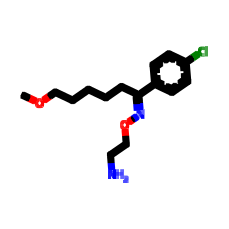 COCCCCCC(=NOCCN)c1ccc(Cl)cc1